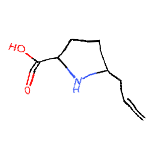 C=CCC1CCC(C(=O)O)N1